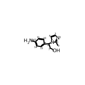 Cc1nccn1C(CO)c1ccc(N)cc1